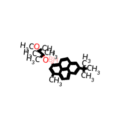 COC(C)(C)C(C)(C)OBc1cc(C)c2ccc3cc(C(C)(C)C)cc4ccc1c2c34